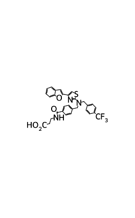 O=C(O)CCNC(=O)c1ccc(CN(Cc2ccc(C(F)(F)F)cc2)c2nc(-c3cc4ccccc4o3)cs2)cc1